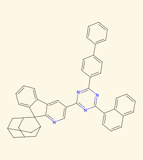 c1ccc(-c2ccc(-c3nc(-c4cnc5c(c4)-c4ccccc4C54C5CC6CC(C5)CC4C6)nc(-c4cccc5ccccc45)n3)cc2)cc1